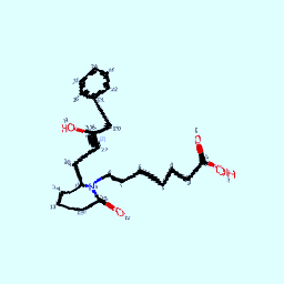 O=C(O)CCCCCCN1C(=O)CCCC1C/C=C(\O)Cc1ccccc1